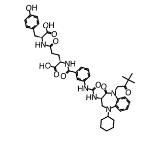 CC(C)(C)C(=O)CN1C(=O)[C@H](NC(=O)Nc2cccc(C(=O)N[C@H](CCC(=O)N[C@@H](Cc3ccc(O)cc3)C(=O)O)C(=O)O)c2)CN(C2CCCCC2)c2ccccc21